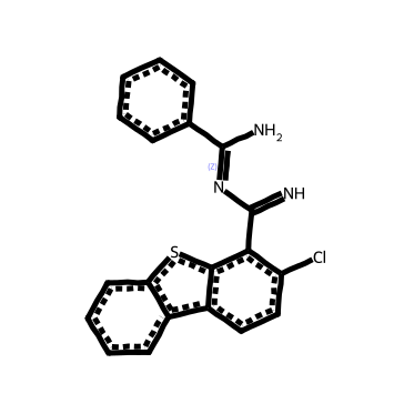 N=C(/N=C(\N)c1ccccc1)c1c(Cl)ccc2c1sc1ccccc12